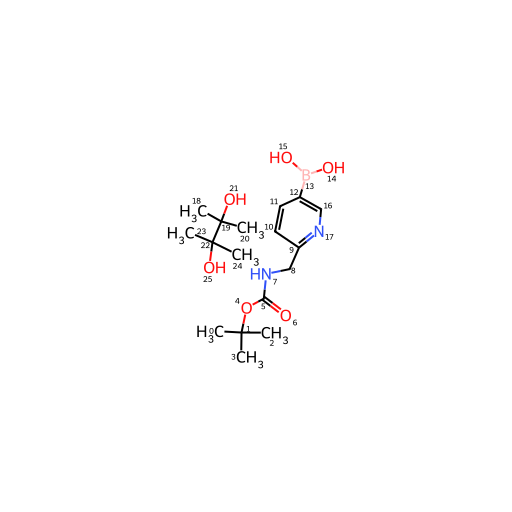 CC(C)(C)OC(=O)NCc1ccc(B(O)O)cn1.CC(C)(O)C(C)(C)O